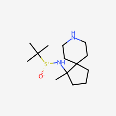 CC(C)(C)[S@@+]([O-])NC1(C)CCCC12CCNCC2